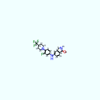 CN1Cc2cc(Nc3ccc(N4CCC(C(F)(F)F)CC4)c(F)c3)ccc2C1=O